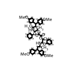 COc1ccc(C(C[C@@H](C)NC(Oc2ccccc2)C(C)OC(=O)C(=O)OC(C)C(N[C@H](C)CC(c2ccc(OC)cc2)c2ccc(OC)cc2)Oc2ccccc2)c2ccc(OC)cc2)cc1